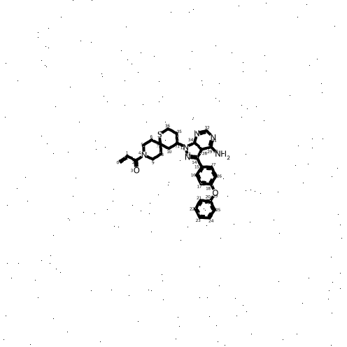 C=CC(=O)N1CCC2(CC1)CC(N1N=C(c3ccc(Oc4ccccc4)cc3)C3C(N)=NC=NC31)CCS2